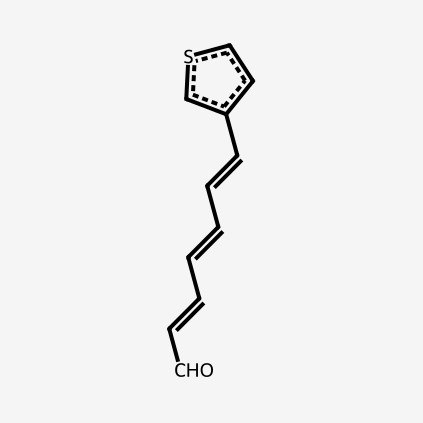 O=CC=CC=CC=Cc1ccsc1